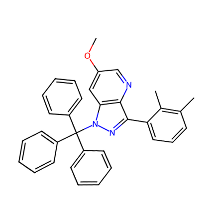 COc1cnc2c(-c3cccc(C)c3C)nn(C(c3ccccc3)(c3ccccc3)c3ccccc3)c2c1